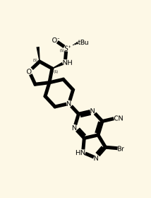 C[C@@H]1OCC2(CCN(c3nc(C#N)c4c(Br)n[nH]c4n3)CC2)[C@@H]1N[S@+]([O-])C(C)(C)C